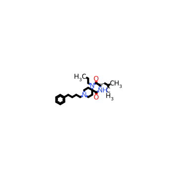 CCCN1C(=O)[C@H](CC(C)C)NC(=O)C12CCN(CCCCc1ccccc1)CC2